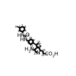 Cc1cccc(NC(=O)Nc2ccc(-c3csc4c(C=CC(=O)O)ncc(N)c34)cc2)c1